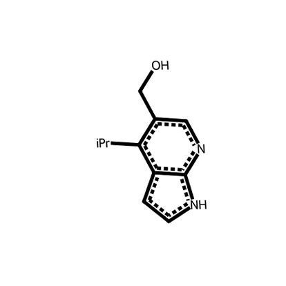 CC(C)c1c(CO)cnc2[nH]ccc12